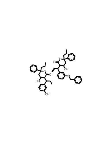 C=CC(C1=C(O)CC(CCC)(c2ccccc2)OC1=O)c1cccc(OCc2ccccc2)c1.CCCC1(c2ccccc2)CC(O)=C(C(CC)c2cccc(O)c2)C(=O)O1